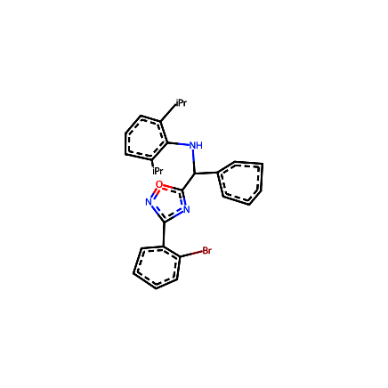 CC(C)c1cccc(C(C)C)c1NC(c1ccccc1)c1nc(-c2ccccc2Br)no1